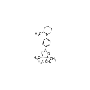 CC1CCCCN1c1ccc(B2OC(C)(C)C(C)(C)O2)cc1